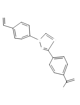 O=Cc1ccc(-n2cnc(-c3ccc(C(=O)O)cc3)n2)cc1